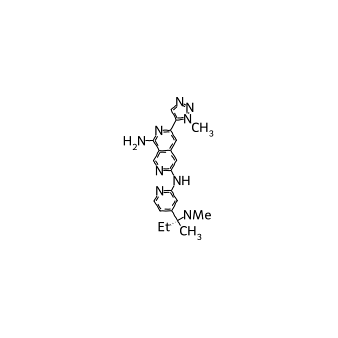 CC[C@@](C)(NC)c1ccnc(Nc2cc3cc(-c4cnnn4C)nc(N)c3cn2)c1